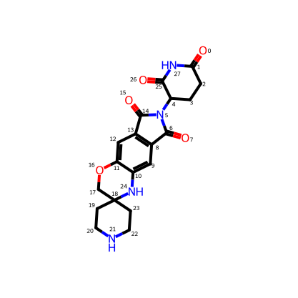 O=C1CCC(N2C(=O)c3cc4c(cc3C2=O)OCC2(CCNCC2)N4)C(=O)N1